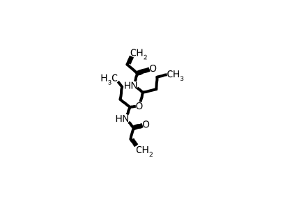 C=CC(=O)NC(CCC)OC(CCC)NC(=O)C=C